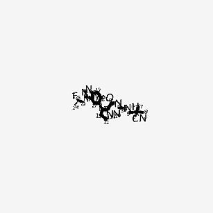 COc1nc(NCC(C)(C)C#N)nn2ccc(-c3ccc4nnn(C[C@@H](C)F)c4c3)c12